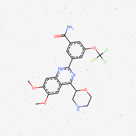 COc1cc2nc(-c3cc(OC(F)(F)F)cc(C(N)=O)c3)nc(C3CNCCO3)c2cc1OC